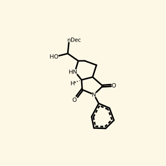 CCCCCCCCCCC(O)C1CCC2C(=O)N(c3ccccc3)C(=O)[C@H]2N1